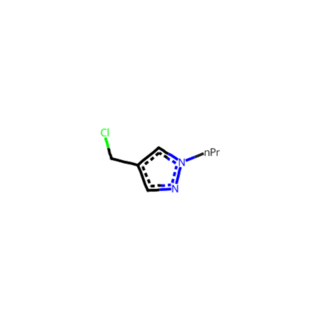 CCCn1cc(CCl)cn1